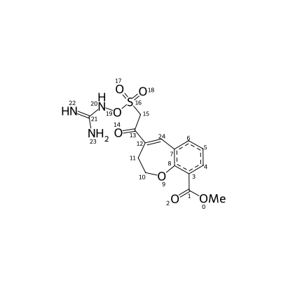 COC(=O)c1cccc2c1OCCC(C(=O)CS(=O)(=O)ONC(=N)N)=C2